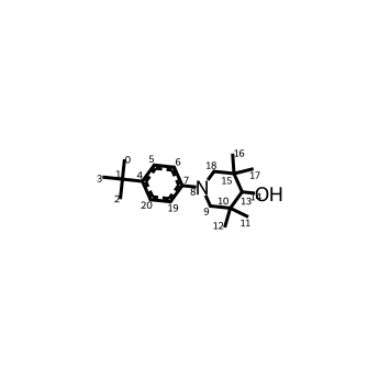 CC(C)(C)c1ccc(N2CC(C)(C)C(O)C(C)(C)C2)cc1